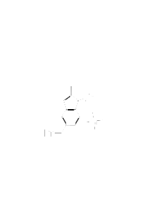 CC1=Cc2cc(CC(C)C)ccc2[CH]1[Zr].C[Si](C)(C)C